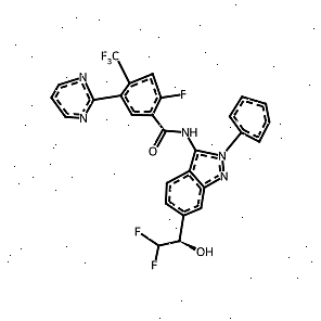 O=C(Nc1c2ccc([C@@H](O)C(F)F)cc2nn1-c1ccccc1)c1cc(-c2ncccn2)c(C(F)(F)F)cc1F